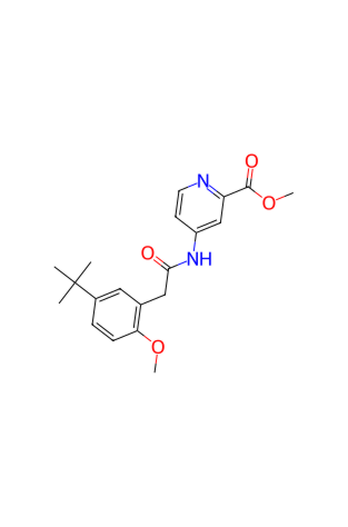 COC(=O)c1cc(NC(=O)Cc2cc(C(C)(C)C)ccc2OC)ccn1